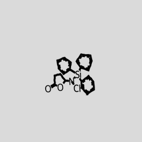 CN(C1CCC(=O)O1)[Si](c1ccccc1)(c1ccccc1)c1ccccc1